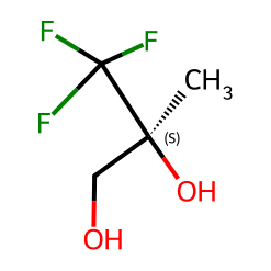 C[C@](O)(CO)C(F)(F)F